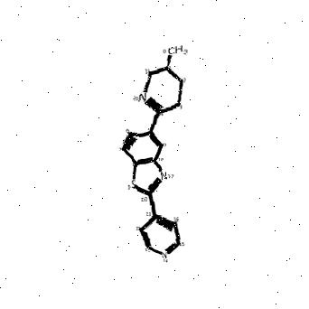 C[C@H]1CCC(c2ccc3sc(-c4ccncc4)nc3c2)=NC1